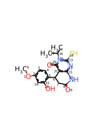 COc1ccc(C2CC(=O)Nc3nc(S)n(C(C)C)c(=O)c32)c(O)c1